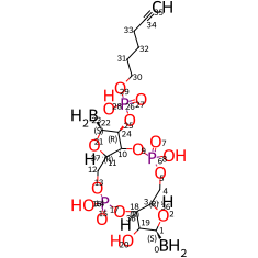 B[C@@H]1O[C@@H]2COP(=O)(O)OC3[C@@H](COP(=O)(O)O[C@@H]2C1O)O[C@@H](B)[C@H]3OP(=O)(O)OCCCCC#C